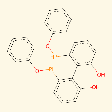 Oc1cccc(POc2ccccc2)c1-c1c(O)cccc1POc1ccccc1